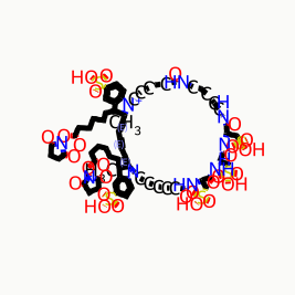 CC1(CCCCCC(=O)ON2C(=O)CCC2=O)C2=[N+](CCCCCC(=O)NCCCCCNC(=O)C(CS(=O)(=O)O)NC(=O)C(CS(=O)(=O)O)NC(=O)C(CS(=O)(=O)O)NC(=O)CCCCCN3/C(=C/C=C/C=C/2)C(C)(CCCCCC(=O)ON2C(=O)CCC2=O)c2cc(S(=O)(=O)O)ccc23)c2ccc(S(=O)(=O)O)cc21